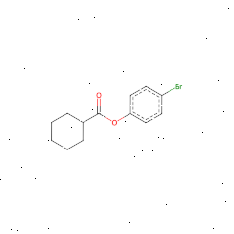 O=C(Oc1ccc(Br)cc1)C1CCCCC1